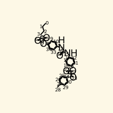 CCCCS(=O)(=O)Oc1ccc(NC(=O)Nc2ccc(OS(=O)(=O)c3ccc(C)cc3)cc2)cc1